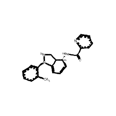 Cc1ccccc1N1NCC2C1=CC=C[C@H]2NC(=O)c1ccccn1